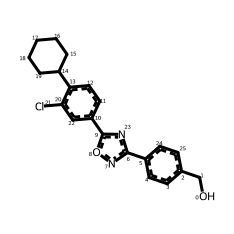 OCc1ccc(-c2noc(-c3ccc(C4CCCCC4)c(Cl)c3)n2)cc1